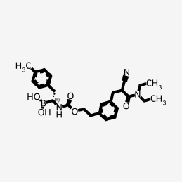 CCN(CC)C(=O)C(C#N)Cc1cccc(CCOC(=O)N[C@@H](Cc2ccc(C)cc2)B(O)O)c1